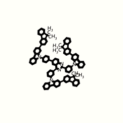 CC1(C)c2ccccc2-c2cc(-c3ccc4c5ccccc5n(-c5ccc(-c6ccc7nc(-c8cccc(-n9c%10ccccc%10c%10ccc(-c%11ccc%12c(c%11)-c%11ccccc%11C%12(C)C)cc%109)c8)nc(-c8cccc(-n9c%10ccccc%10c%10ccc(-c%11ccc%12c(c%11)-c%11ccccc%11C%12(C)C)cc%109)c8)c7c6)cc5)c4c3)ccc21